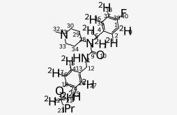 [2H]c1c([2H])c(C([2H])([2H])N(C(=O)NCc2c([2H])c([2H])c(OC([2H])([2H])C(C)C)c([2H])c2[2H])C2CCN(C)CC2)c([2H])c([2H])c1F